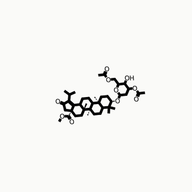 COC(=O)[C@@]12CC[C@]3(C)C(CCC4[C@@]5(C)CC[C@H](OC6CC(OC(C)=O)C(O)C(COC(C)=O)O6)C(C)(C)C5CC[C@]43C)C1=C(C(C)C)C(=O)C2